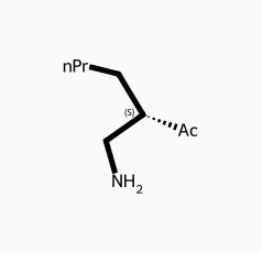 CCCC[C@@H](CN)C(C)=O